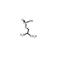 NC(CO[PH](=O)O)C(=O)O